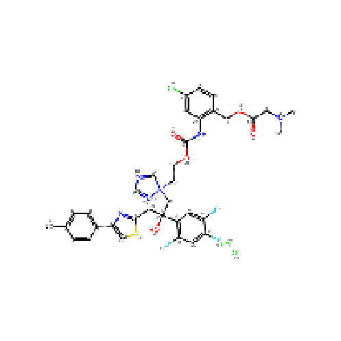 C[C@@H](c1nc(-c2ccc(C#N)cc2)cs1)[C@](O)(C[N+]1(CCOC(=O)Nc2cc(Cl)ccc2COC(=O)CN(C)C)C=NC=N1)c1cc(F)c(F)cc1F.Cl.[Cl-]